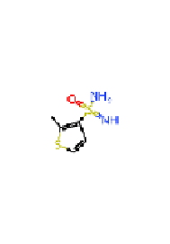 Cc1sccc1S(=N)(N)=O